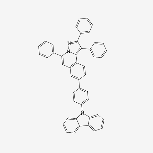 c1ccc(-c2nn3c(-c4ccccc4)cc4cc(-c5ccc(-n6c7ccccc7c7ccccc76)cc5)ccc4c3c2-c2ccccc2)cc1